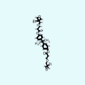 CCC1(COCCC(=O)Oc2ccc(C(C)(C)c3ccc(OC(=O)CCOCC4(CC)COC4)cc3)cc2)COC1